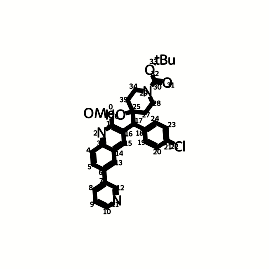 COc1nc2ccc(-c3cccnc3)cc2cc1C(c1ccc(Cl)cc1)C1(O)CCN(C(=O)OC(C)(C)C)CC1